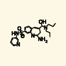 CCCN(CCC)C(O)C1=Cc2ccc(S(=O)(=O)Nc3cccnc3)cc2N=C(N)C1